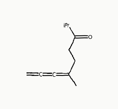 C=C=C=C(C)CCC(=O)C(C)C